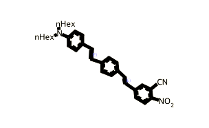 CCCCCCN(CCCCCC)c1ccc(/C=C/c2ccc(/C=C/c3ccc([N+](=O)[O-])c(C#N)c3)cc2)cc1